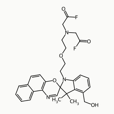 CC1(C)c2c(CO)cccc2N(CCOCCN(CC(=O)F)CC(=O)F)C12C=Nc1c(ccc3ccccc13)O2